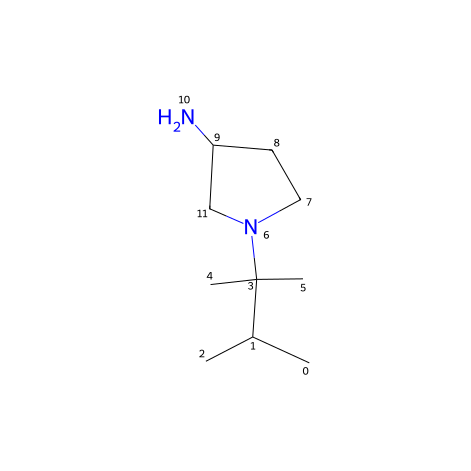 CC(C)C(C)(C)N1CCC(N)C1